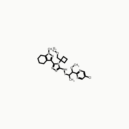 COCC1(n2c(NSC(C)C(OC)c3ncc(Cl)cn3)nnc2-c2nn(C)c3c2CCCC3)CCC1